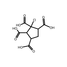 O=C(O)C1CC(C(=O)O)C(Cl)(C(=O)O)C1C(=O)O